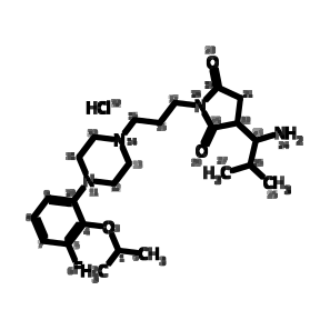 CC(C)Oc1c(F)cccc1N1CCN(CCCN2C(=O)CC(C(N)C(C)C)C2=O)CC1.Cl